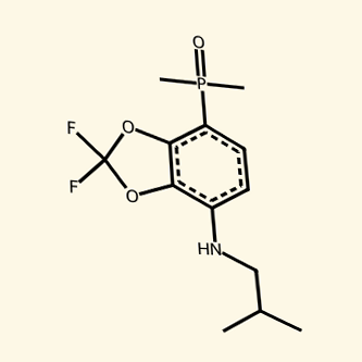 CC(C)CNc1ccc(P(C)(C)=O)c2c1OC(F)(F)O2